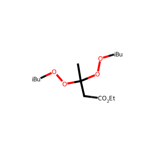 CCOC(=O)CC(C)(OOC(C)CC)OOC(C)CC